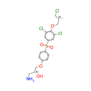 C[C@@H](CCl)COc1c(Cl)cc(S(=O)(=O)c2ccc(OC[C@H](O)CN)cc2)cc1Cl